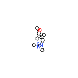 c1ccc(-c2nc(-c3ccccc3)nc(-c3cccc([Si](c4ccccc4)(c4ccccc4)c4ccc5c(c4)oc4ccccc45)c3)n2)cc1